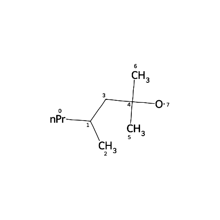 CCCC(C)CC(C)(C)[O]